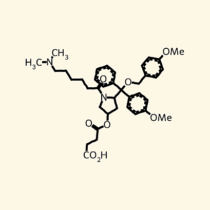 COc1ccc(COC(c2ccccc2)(c2ccc(OC)cc2)C2CC(OC(=O)CCC(=O)O)CN2C(=O)CCCCCN(C)C)cc1